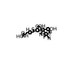 COc1cc(-c2cnc(N3CCC(N(C)Cc4ccc(/C=C/C(=O)NO)cc4)CC3)c(C#N)c2-c2ccc(C#N)c(F)c2)ccc1O.O=CO